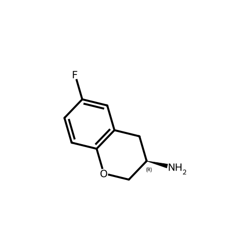 N[C@H]1COc2ccc(F)cc2C1